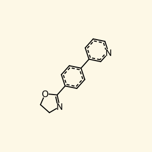 c1cncc(-c2ccc(C3=NCCO3)cc2)c1